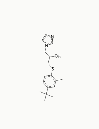 Cc1cc(C(C)(C)C)ccc1SCC(O)Cn1ccnc1